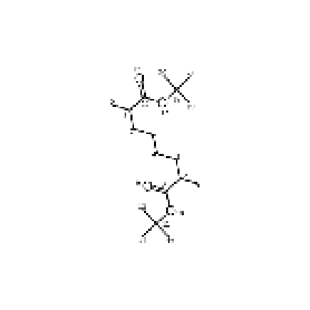 CC(CCCCC(C)C(=O)OC(C)(C)C)C(=O)OC(C)(C)C